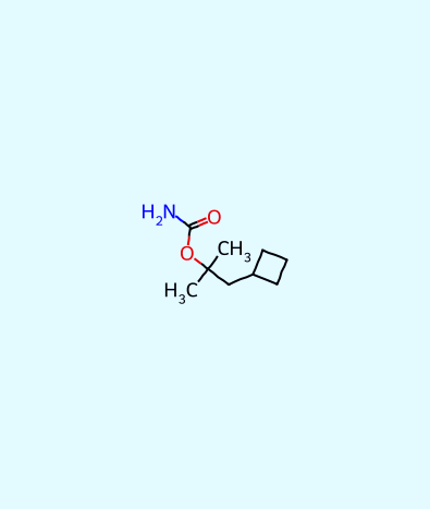 CC(C)(CC1CCC1)OC(N)=O